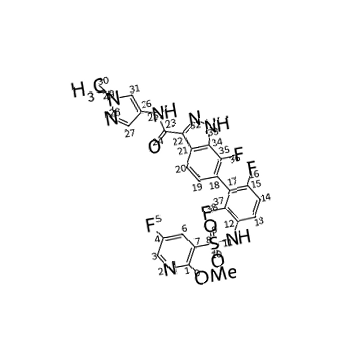 COc1ncc(F)cc1S(=O)(=O)Nc1ccc(F)c(-c2ccc3c(C(=O)Nc4cnn(C)c4)n[nH]c3c2F)c1F